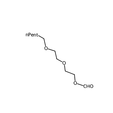 CCCCCCOCCOCCOC=O